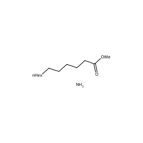 CCCCCCCCCCCC(=O)OC.N